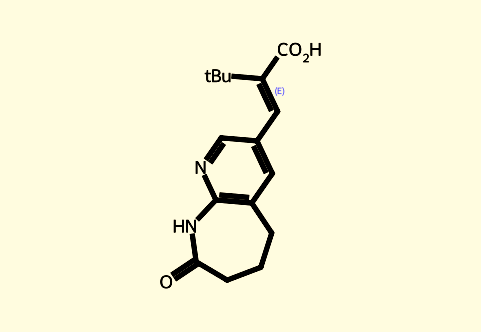 CC(C)(C)/C(=C\c1cnc2c(c1)CCCC(=O)N2)C(=O)O